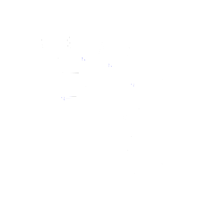 c1cc(-c2ccc(-c3cccc4ccccc34)cc2)nc(-c2cccc(-n3c4ccccc4c4cnccc43)n2)c1